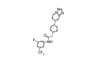 O=C(Cc1ccc(-c2ccn3ncnc3c2)cc1)Nc1cc(F)cc(C(F)(F)F)c1